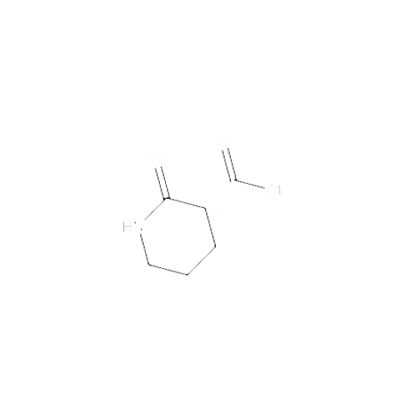 O=C(O)[C@@H]1CCCNC1=O